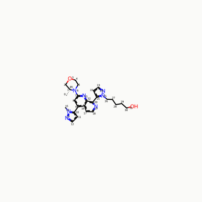 C[C@@H]1COCCN1c1cc(-c2ccnn2C)c2ccnc(-c3ccnn3CCCCCO)c2n1